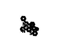 c1ccc(-c2cc(-c3ccccc3)nc(-c3cccnc3-c3ccc4c(c3)Sc3ccccc3C43c4ccccc4-c4ccccc43)n2)cc1